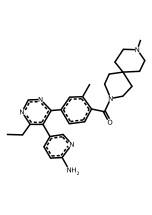 CCc1ncnc(-c2ccc(C(=O)N3CCC4(CCN(C)CC4)CC3)c(C)c2)c1-c1ccc(N)nc1